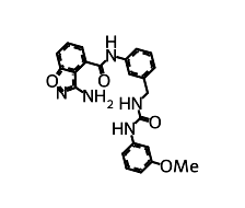 COc1cccc(NC(=O)NCc2cccc(NC(=O)c3cccc4onc(N)c34)c2)c1